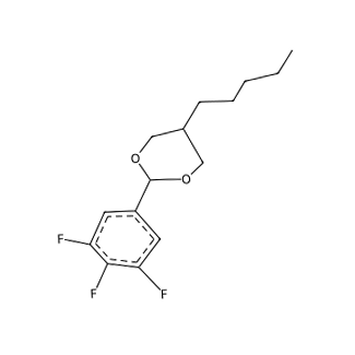 CCCCCC1COC(c2cc(F)c(F)c(F)c2)OC1